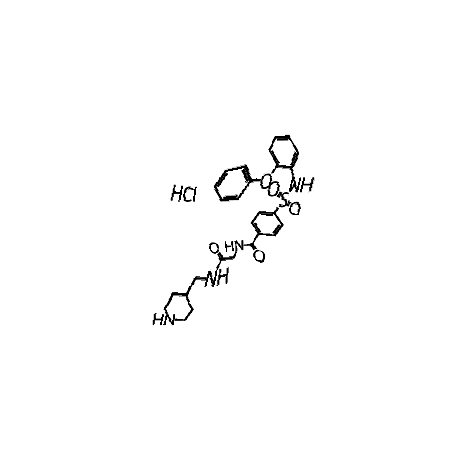 Cl.O=C(CNC(=O)c1ccc(S(=O)(=O)Nc2ccccc2Oc2ccccc2)cc1)NCC1CCNCC1